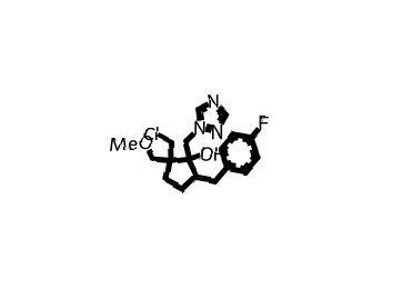 COCC1(CCl)CCC(Cc2ccc(F)cc2)C1(O)Cn1cncn1